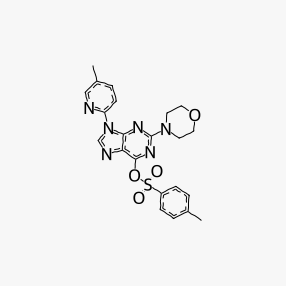 Cc1ccc(S(=O)(=O)Oc2nc(N3CCOCC3)nc3c2ncn3-c2ccc(C)cn2)cc1